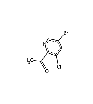 CC(=O)c1ncc(Br)cc1Cl